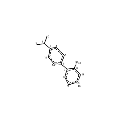 CC(C)c1ccc(-c2ccncc2F)cc1